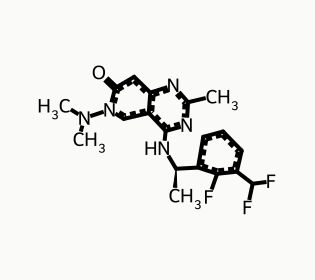 Cc1nc(N[C@H](C)c2cccc(C(F)F)c2F)c2cn(N(C)C)c(=O)cc2n1